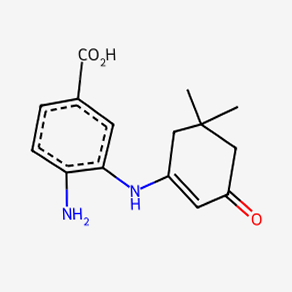 CC1(C)CC(=O)C=C(Nc2cc(C(=O)O)ccc2N)C1